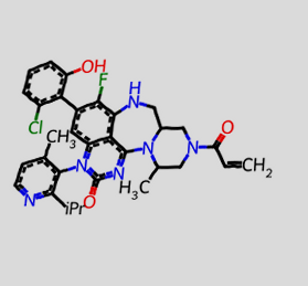 C=CC(=O)N1CC(C)N2c3nc(=O)n(-c4c(C)ccnc4C(C)C)c4cc(-c5c(O)cccc5Cl)c(F)c(c34)NCC2C1